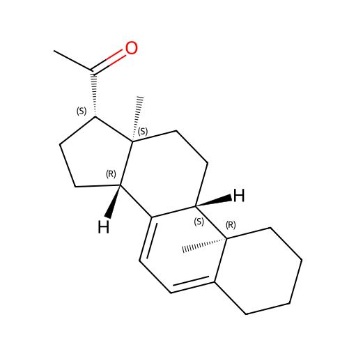 CC(=O)[C@H]1CC[C@H]2C3=CC=C4CCCC[C@]4(C)[C@H]3CC[C@]12C